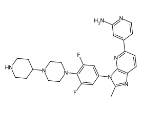 Cc1nc2ccc(-c3ccnc(N)c3)nc2n1-c1cc(F)c(N2CCN(C3CCNCC3)CC2)c(F)c1